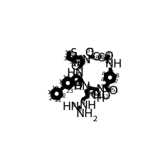 N=C(N)NCCC[C@H]1NC(=O)[C@H](Cc2ccc(-c3ccccc3)cc2)NC(=O)[C@@H](Cc2cccs2)NC(=O)CCC(=O)Nc2ccc(cc2)C(C(=O)O)NC1=O